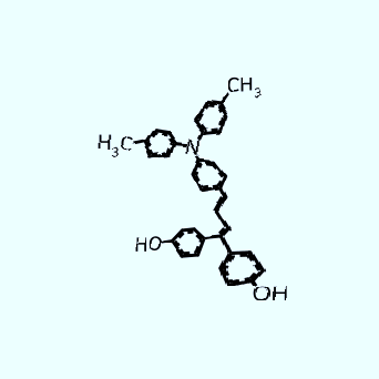 Cc1ccc(N(c2ccc(C)cc2)c2ccc(C=CC=C(c3ccc(O)cc3)c3ccc(O)cc3)cc2)cc1